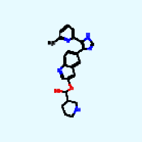 Cc1cccc(-c2[nH]cnc2-c2ccc3ncc(OC(O)C4CCCNC4)cc3c2)n1